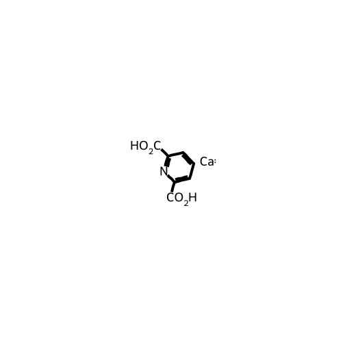 O=C(O)c1cccc(C(=O)O)n1.[Ca]